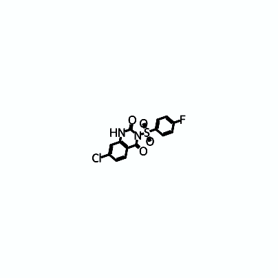 O=c1[nH]c2cc(Cl)ccc2c(=O)n1S(=O)(=O)c1ccc(F)cc1